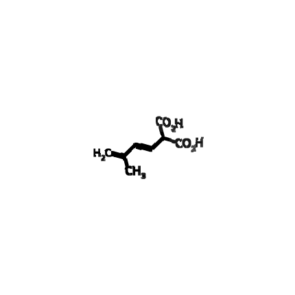 C=C(C)C=CC(C(=O)O)C(=O)O